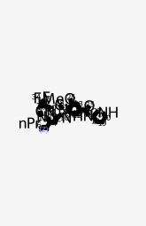 C=Nc1c(/C=C\CCC)cc(-c2nc3cc(C(=O)NC4CCCNC4)cc(OC)c3n2C)n1CC1CC1(F)F